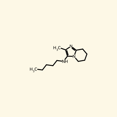 CCCCCNc1c(C)nc2n1CCCC2